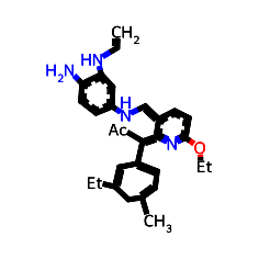 C=CNc1cc(N/C=c2/ccc(OCC)n/c2=C(/C(C)=O)C2=CC=C(C)CC(CC)=C2)ccc1N